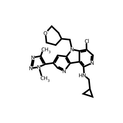 Cc1nnn(C)c1-c1cnc2c3c(NCC4CC4)ncc(Cl)c3n(CC3CCOCC3)c2c1